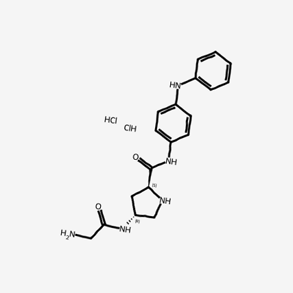 Cl.Cl.NCC(=O)N[C@H]1CN[C@H](C(=O)Nc2ccc(Nc3ccccc3)cc2)C1